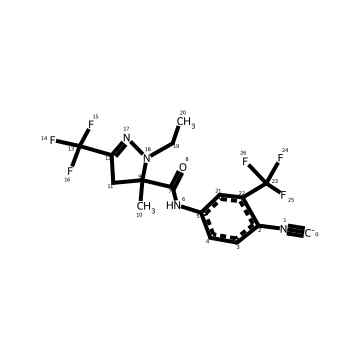 [C-]#[N+]c1ccc(NC(=O)C2(C)CC(C(F)(F)F)=NN2CC)cc1C(F)(F)F